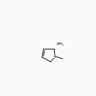 CN1CC=CC1.[AlH3]